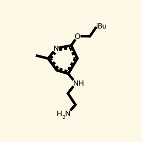 CCC(C)COc1cc(NCCN)cc(C)n1